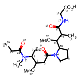 CCC(C)C(C(CC(=O)N1CCCC1C(OC)C(C)C(=O)NCC(=O)O)OC)N(C)C(=O)CC(C)C